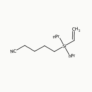 C=C[Si](CCC)(CCC)CCCCC#N